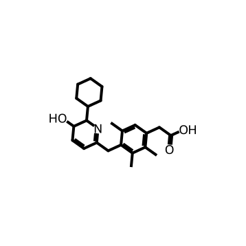 Cc1cc(CC(=O)O)c(C)c(C)c1CC1=NC(C2CCCCC2)C(O)C=C1